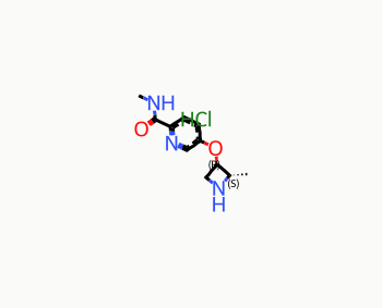 CNC(=O)c1ccc(O[C@@H]2CN[C@H]2C)cn1.Cl